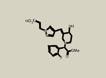 COC(=O)C(c1ccccc1F)N1CCC(S)/C(=C/c2cnn(CCC(=O)O)c2)C1